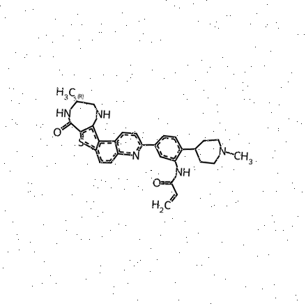 C=CC(=O)Nc1cc(-c2ccc3c(ccc4sc5c(c43)NC[C@@H](C)NC5=O)n2)ccc1C1CCN(C)CC1